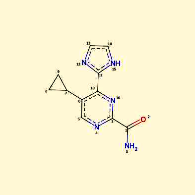 NC(=O)c1ncc(C2CC2)c(-c2ncc[nH]2)n1